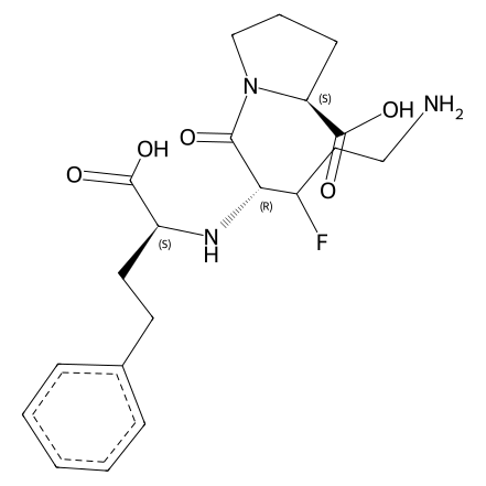 NCCC(F)[C@H](N[C@@H](CCc1ccccc1)C(=O)O)C(=O)N1CCC[C@H]1C(=O)O